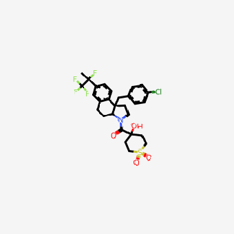 CC(F)(c1ccc2c(c1)CCC1N(C(=O)C3(O)CCS(=O)(=O)CC3)CCC21Cc1ccc(Cl)cc1)C(F)(F)F